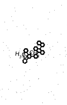 Cc1ccccc1-c1c(C)c(-c2cccc(-c3c4ccccc4c(-c4cccc5ccccc45)c4ccccc34)c2)cc2c1OC1C=CC=CC21